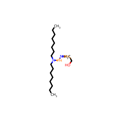 CCCCCCCCN(CCCCCCCC)PN=[PH3].CCO